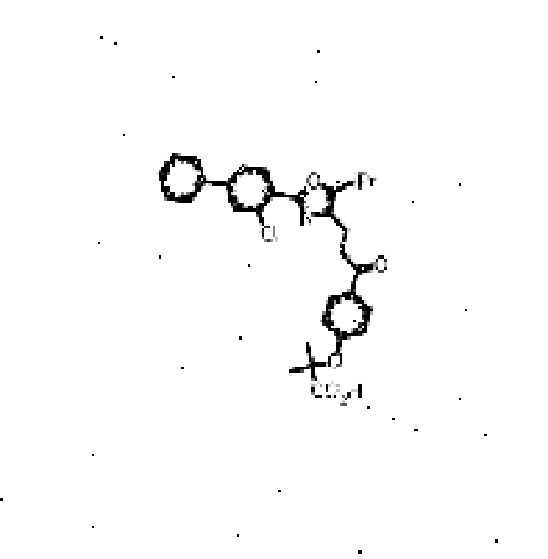 CC(C)c1oc(-c2ccc(-c3ccccc3)cc2Cl)nc1CCC(=O)c1ccc(OC(C)(C)C(=O)O)cc1